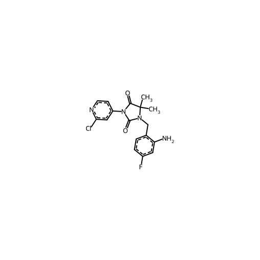 CC1(C)C(=O)N(c2ccnc(Cl)c2)C(=O)N1Cc1ccc(F)cc1N